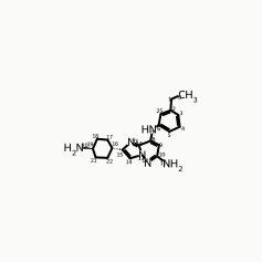 CCc1cccc(Nc2cc(N)nn3cc([C@H]4CC[C@H](N)CC4)nc23)c1